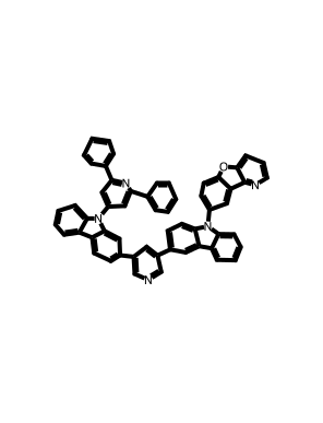 c1ccc(-c2cc(-n3c4ccccc4c4ccc(-c5cncc(-c6ccc7c(c6)c6ccccc6n7-c6ccc7oc8cccnc8c7c6)c5)cc43)cc(-c3ccccc3)n2)cc1